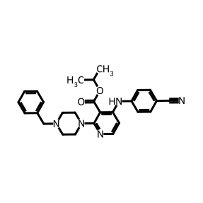 CC(C)OC(=O)c1c(Nc2ccc(C#N)cc2)ccnc1N1CCN(Cc2ccccc2)CC1